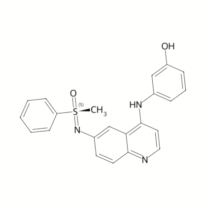 C[S@@](=O)(=Nc1ccc2nccc(Nc3cccc(O)c3)c2c1)c1ccccc1